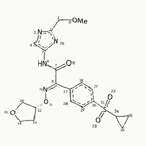 COCc1nsc(NC(=O)/C(=N/O[C@@H]2CCOC2)c2ccc(S(=O)(=O)C3CC3)cc2)n1